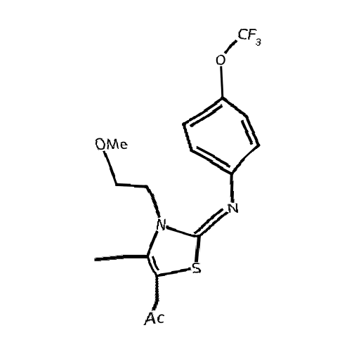 COCCn1c(C)c(C(C)=O)s/c1=N/c1ccc(OC(F)(F)F)cc1